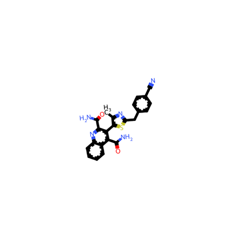 Cc1nc(Cc2ccc(C#N)cc2)sc1-c1c(C(N)=O)nc2ccccc2c1C(N)=O